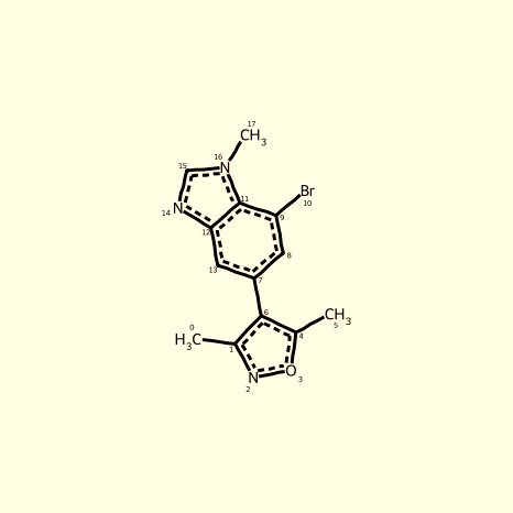 Cc1noc(C)c1-c1cc(Br)c2c(c1)ncn2C